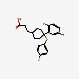 O=C(O)CCC1CCC(Sc2ccc(Cl)cc2)(c2cc(F)ccc2F)CC1